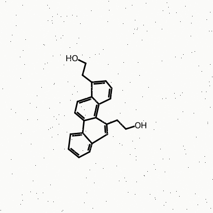 OCCc1cccc2c1ccc1c3ccccc3cc(CCO)c21